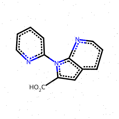 O=C(O)c1cc2cccnc2n1-c1ccccn1